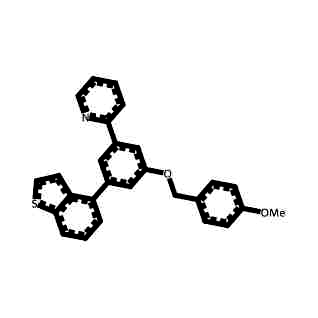 COc1ccc(COc2cc(-c3ccccn3)cc(-c3cccc4sccc34)c2)cc1